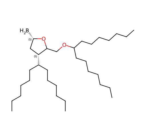 B[C@H]1C[C@@H](C(CCCCCC)CCCCCC)C(COC(CCCCCCC)CCCCCCC)O1